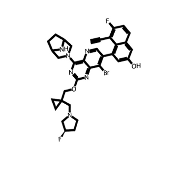 C#Cc1c(F)ccc2cc(O)cc(-c3cnc4c(N5CC6CCC(C5)N6)nc(OCC5(CN6CC[C@@H](F)C6)CC5)nc4c3Br)c12